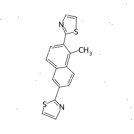 Cc1c(-c2nccs2)ccc2cc(-c3nccs3)ccc12